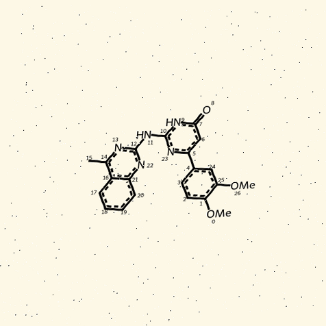 COc1ccc(-c2cc(=O)[nH]c(Nc3nc(C)c4ccccc4n3)n2)cc1OC